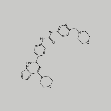 N=C(/N=C(\c1ccc[nH]1)N1CCOCC1)c1ccc(NC(=O)Nc2ccc(CN3CCOCC3)nc2)cc1